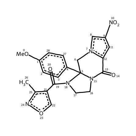 COc1ccc(C23Cn4cc([N+](=O)[O-])cc4C(=O)N2CCN3C(=O)c2conc2C)cc1